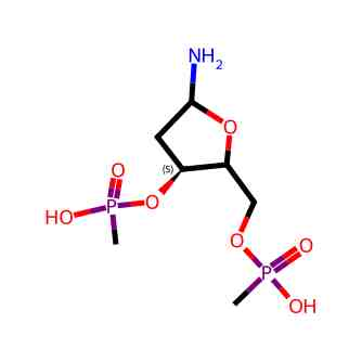 CP(=O)(O)OCC1OC(N)C[C@@H]1OP(C)(=O)O